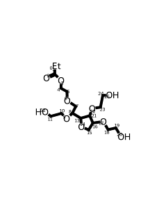 CCC(=O)OCCOCC(OCCO)C1OCC(OCCO)C1OCCO